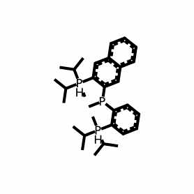 CC(C)[PH](C)(c1ccccc1P(C)c1cc2ccccc2cc1[PH](C)(C(C)C)C(C)C)C(C)C